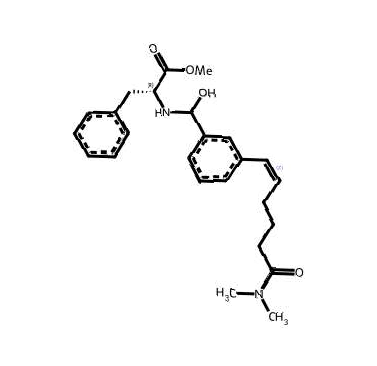 COC(=O)[C@@H](Cc1ccccc1)NC(O)c1cccc(/C=C\CCCC(=O)N(C)C)c1